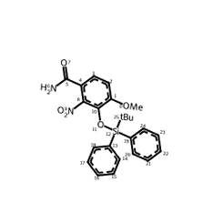 COc1ccc(C(N)=O)c([N+](=O)[O-])c1O[Si](c1ccccc1)(c1ccccc1)C(C)(C)C